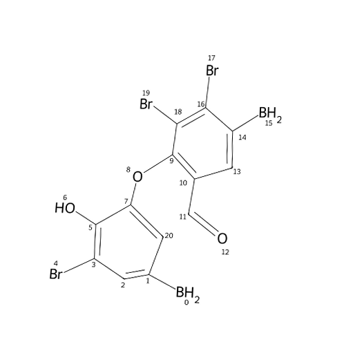 Bc1cc(Br)c(O)c(Oc2c(C=O)cc(B)c(Br)c2Br)c1